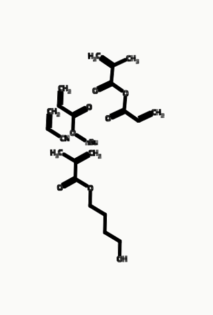 C=C(C)C(=O)OCCCCO.C=CC#N.C=CC(=O)OC(=O)C(=C)C.C=CC(=O)OCCCC